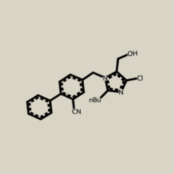 CCCCc1nc(Cl)c(CO)n1Cc1ccc(-c2ccccc2)c(C#N)c1